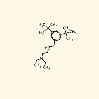 CCN(CC)CCNCc1cc(C(C)(C)C)cc(C(C)(C)C)c1